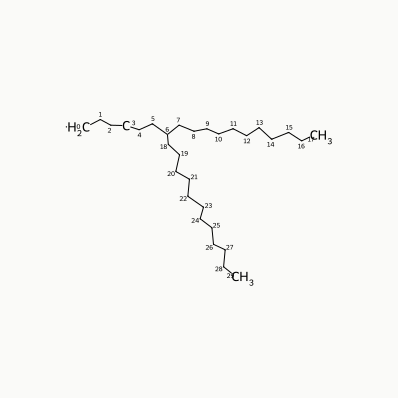 [CH2]CCCCCC(CCCCCCCCCCC)CCCCCCCCCCCC